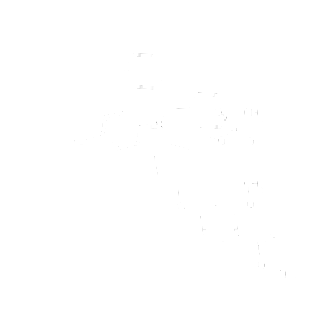 COC(=O)c1ccc(OCCc2c(CCOS(C)(=O)=O)n(C(c3ccccc3)c3ccccc3)c3ccc(Cl)cc23)cc1OC